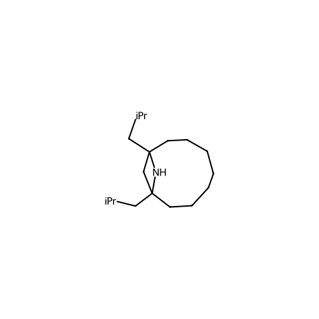 CC(C)CC12CCCCCCCC(CC(C)C)(C1)N2